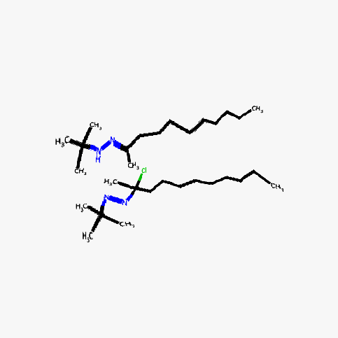 CCCCCCCCC/C(C)=N/NC(C)(C)C.CCCCCCCCCC(C)(Cl)/N=N/C(C)(C)C